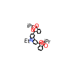 CCn1c2ccc(C(=O)c3ccccc3C(=O)OC(C)C)cc2c2cc(C(=O)c3ccccc3C(=O)OC(C)C)ccc21